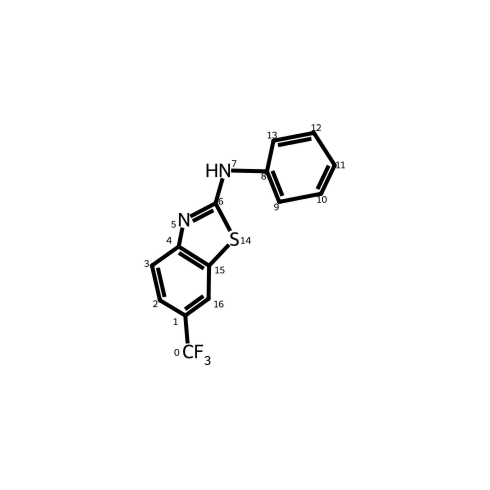 FC(F)(F)c1ccc2nc(Nc3ccccc3)sc2c1